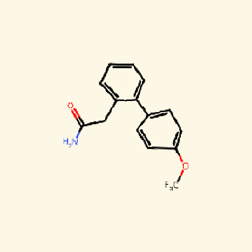 NC(=O)Cc1ccccc1-c1ccc(OC(F)(F)F)cc1